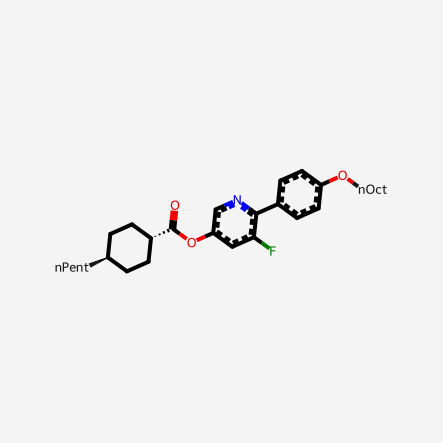 CCCCCCCCOc1ccc(-c2ncc(OC(=O)[C@H]3CC[C@H](CCCCC)CC3)cc2F)cc1